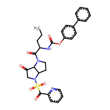 CCCC(NC(=O)Oc1ccc(-c2ccccc2)cc1)C(=O)N1CCC2C1C(=O)CN2S(=O)(=O)C(=O)c1ccccn1